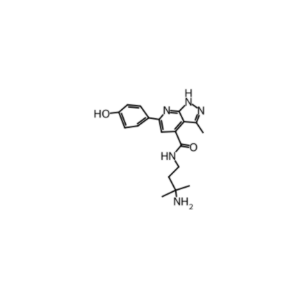 Cc1n[nH]c2nc(-c3ccc(O)cc3)cc(C(=O)NCCC(C)(C)N)c12